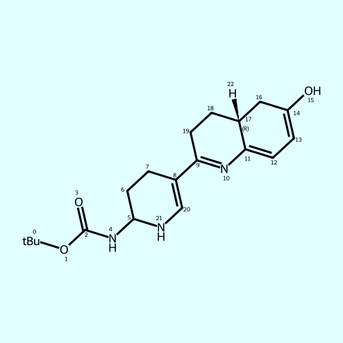 CC(C)(C)OC(=O)NC1CCC(C2=NC3=CC=C(O)C[C@H]3CC2)=CN1